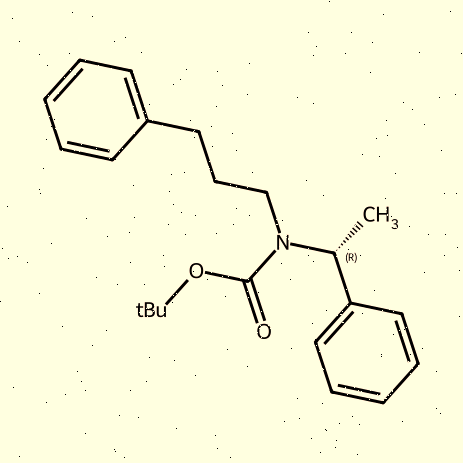 C[C@H](c1ccccc1)N(CCCc1ccccc1)C(=O)OC(C)(C)C